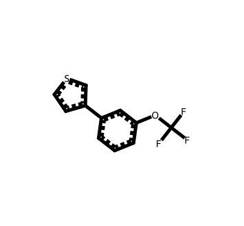 FC(F)(F)Oc1cccc(-c2ccsc2)c1